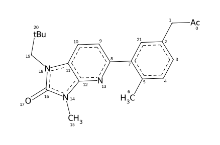 CC(=O)Cc1ccc(C)c(-c2ccc3c(n2)n(C)c(=O)n3CC(C)(C)C)c1